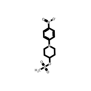 CS(=O)(=O)OC1CCN(c2ccc([N+](=O)[O-])cc2)CC1